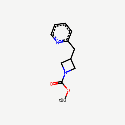 CC(C)(C)OC(=O)N1CC(Cc2ccccn2)C1